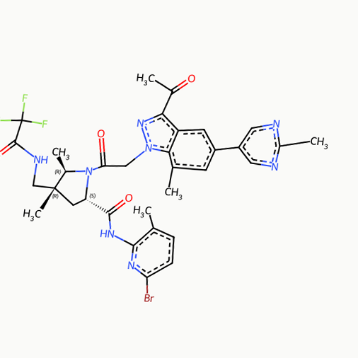 CC(=O)c1nn(CC(=O)N2[C@H](C(=O)Nc3nc(Br)ccc3C)C[C@](C)(CNC(=O)C(F)(F)F)[C@H]2C)c2c(C)cc(-c3cnc(C)nc3)cc12